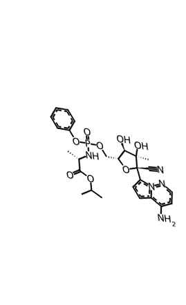 CC(C)OC(=O)[C@H](C)NP(=O)(OC[C@H]1O[C@@](C#N)(c2ccc3c(N)ccnn23)[C@](C)(O)[C@@H]1O)Oc1ccccc1